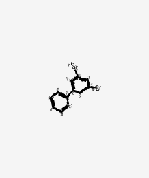 Brc1cc(Br)cc(-c2c[c]ccc2)c1